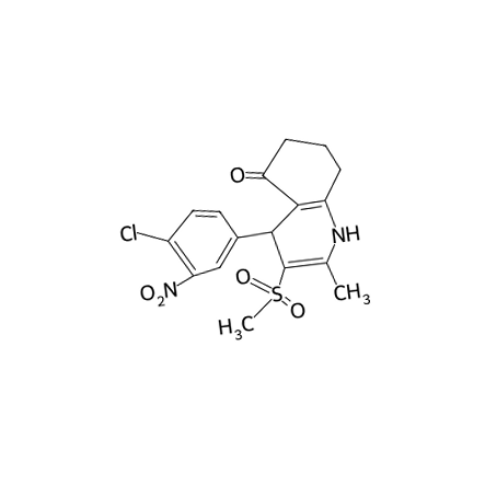 CC1=C(S(C)(=O)=O)C(c2ccc(Cl)c([N+](=O)[O-])c2)C2=C(CCCC2=O)N1